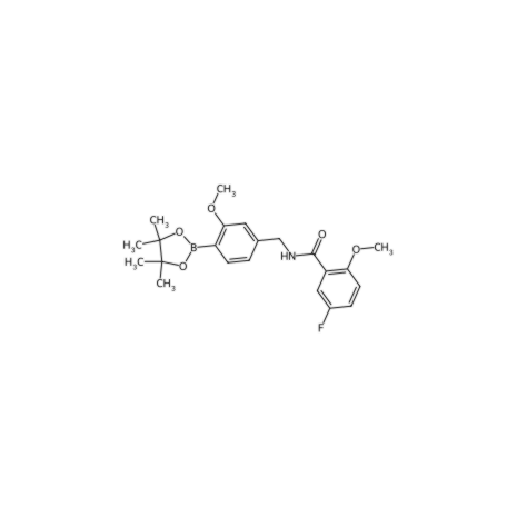 COc1cc(CNC(=O)c2cc(F)ccc2OC)ccc1B1OC(C)(C)C(C)(C)O1